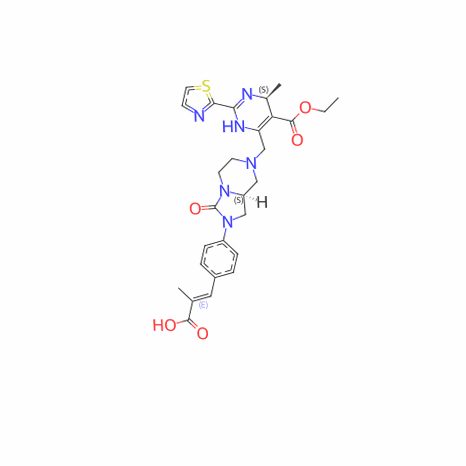 CCOC(=O)C1=C(CN2CCN3C(=O)N(c4ccc(/C=C(\C)C(=O)O)cc4)C[C@@H]3C2)NC(c2nccs2)=N[C@H]1C